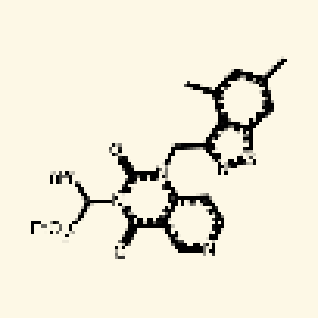 CCCC(C(=O)OCC)n1c(=O)c2cnccc2n(Cc2nsc3cc(C)cc(C)c23)c1=O